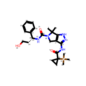 CC1(C)c2[nH]nc(NC(=O)C3(S(C)(C)C)CC3)c2CN1C(=O)N[C@H](CCO)c1ccccc1